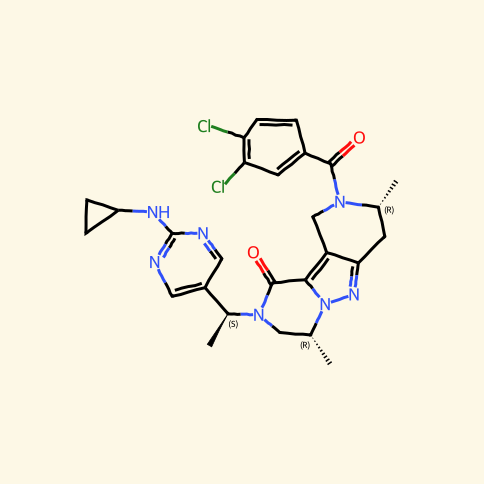 C[C@@H]1Cc2nn3c(c2CN1C(=O)c1ccc(Cl)c(Cl)c1)C(=O)N([C@@H](C)c1cnc(NC2CC2)nc1)C[C@H]3C